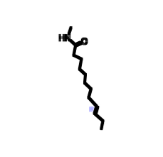 CC/C=C/CCCCCCCC(=O)NC